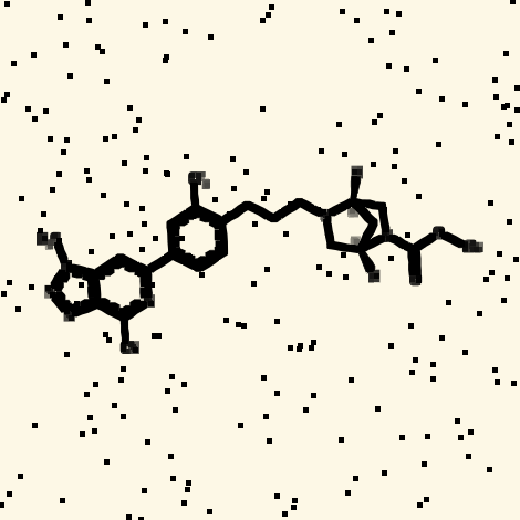 Cn1nnc2c(C#N)nc(-c3ccc(CCCN4C[C@@H]5C[C@H]4CN5C(=O)OC(C)(C)C)c(C(F)(F)F)c3)cc21